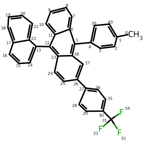 Cc1ccc(-c2c3ccccc3c(-c3cccc4ccccc34)c3ccc(-c4ccc(C(F)(F)F)cc4)cc23)cc1